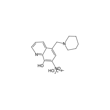 CC(=O)O.O=[N+]([O-])c1cc(CN2CCCCC2)c2cccnc2c1O